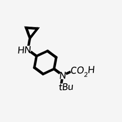 CC(C)(C)N(C(=O)O)C1CCC(NC2CC2)CC1